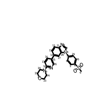 CS(=O)(=O)c1ccc(-n2cnc3ccc(-c4ccc(N5CCOCC5)nc4)cc32)cc1